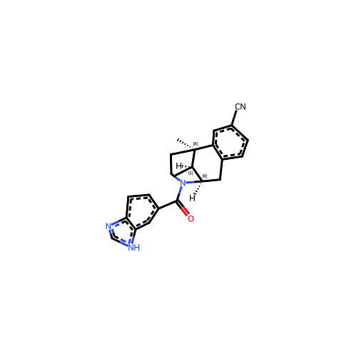 C[C@@H]1[C@H]2Cc3ccc(C#N)cc3[C@]1(C)CCN2C(=O)c1ccc2nc[nH]c2c1